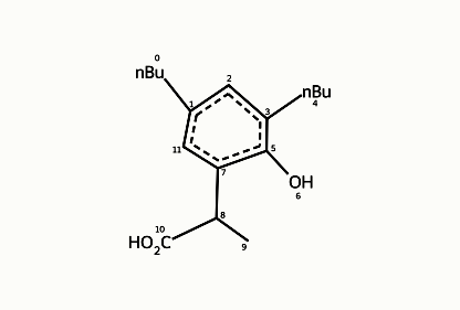 CCCCc1cc(CCCC)c(O)c(C(C)C(=O)O)c1